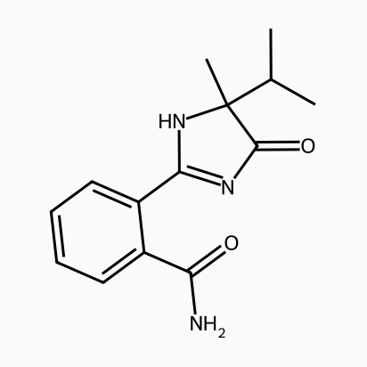 CC(C)C1(C)NC(c2ccccc2C(N)=O)=NC1=O